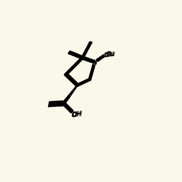 C=C(O)[C@@H]1CN(C(C)(C)C)C(C)(C)C1